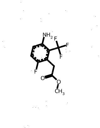 COC(=O)Cc1c(F)ccc(N)c1C(F)(F)F